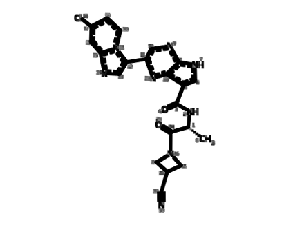 C[C@@H](NC(=O)c1c[nH]c2ncc(-c3cnc4cc(Cl)ccn34)nc12)C(=O)N1CC(C#N)C1